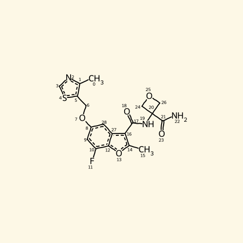 Cc1ncsc1COc1cc(F)c2oc(C)c(C(=O)NC3(C(N)=O)COC3)c2c1